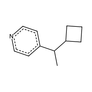 CC(c1ccncc1)C1CCC1